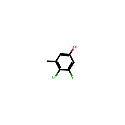 Cc1cc(O)cc(F)c1Br